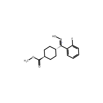 COC(=O)[C@H]1CC[C@H](/C(=N\O)c2ccccc2F)CC1